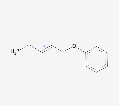 Cc1ccccc1OC/C=C/CP